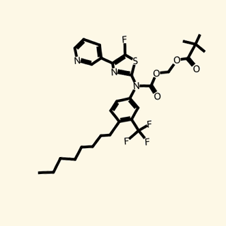 CCCCCCCCc1ccc(N(C(=O)OCOC(=O)C(C)(C)C)c2nc(-c3cccnc3)c(F)s2)cc1C(F)(F)F